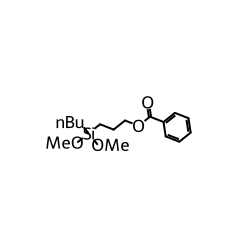 CCCC[Si](CCCOC(=O)c1ccccc1)(OC)OC